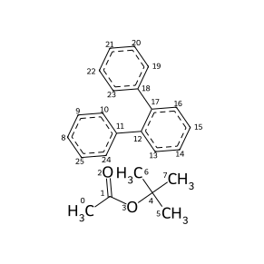 CC(=O)OC(C)(C)C.c1ccc(-c2ccccc2-c2ccccc2)cc1